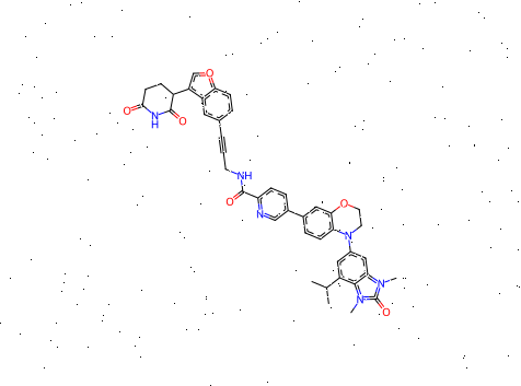 CC(C)c1cc(N2CCOc3cc(-c4ccc(C(=O)NCC#Cc5ccc6occ(C7CCC(=O)NC7=O)c6c5)nc4)ccc32)cc2c1n(C)c(=O)n2C